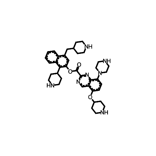 O=C(Oc1cc(CC2CCNCC2)c2ccccc2c1C1CCNCC1)c1ncc2c(OC3CCNCC3)ccc(N3CCNCC3)c2n1